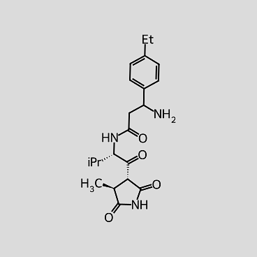 CCc1ccc(C(N)CC(=O)N[C@H](C(=O)[C@@H]2C(=O)NC(=O)[C@H]2C)C(C)C)cc1